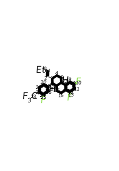 CC/C=C/[C@@H]1CC[C@H]2c3cc(F)cc(F)c3CC[C@@H]2[C@H]1c1ccc(C(F)(F)F)c(F)c1